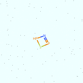 n1ps[pH]1